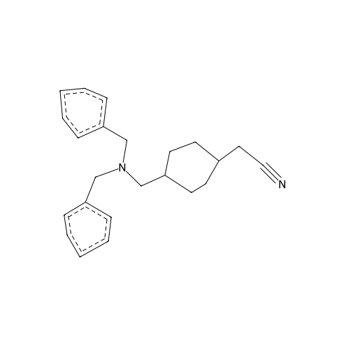 N#CCC1CCC(CN(Cc2ccccc2)Cc2ccccc2)CC1